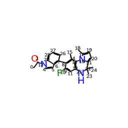 CC(=O)n1ccc2c(-c3c(F)cc4c(c3C)-n3c(C)ccc3C(C)(C)N4)cccc21